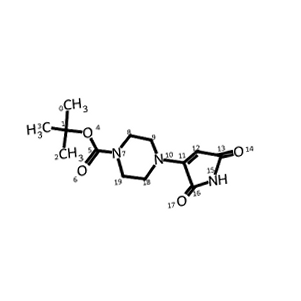 CC(C)(C)OC(=O)N1CCN(C2=CC(=O)NC2=O)CC1